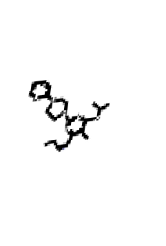 CC/C=C\c1nc(N2CCN(c3ccccn3)CC2)nc(OC(C)C)c1C